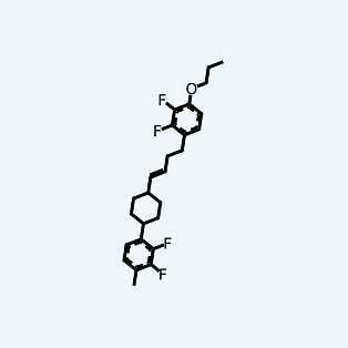 CCCOc1ccc(CC/C=C/C2CCC(c3ccc(C)c(F)c3F)CC2)c(F)c1F